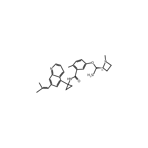 CC(C)=Cc1cc(C2(NC(=O)c3cc(OC([SiH3])[C@@H]4CCN4C)ccc3C)CC2)c2cccnc2c1